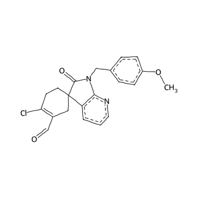 COc1ccc(CN2C(=O)C3(CCC(Cl)=C(C=O)C3)c3cccnc32)cc1